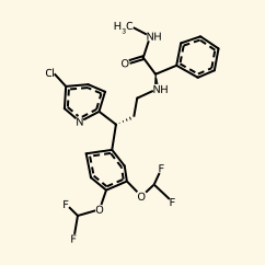 CNC(=O)[C@H](NCC[C@H](c1ccc(OC(F)F)c(OC(F)F)c1)c1ccc(Cl)cn1)c1ccccc1